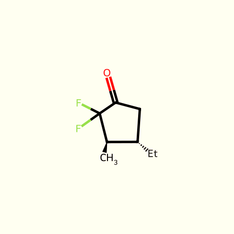 CC[C@H]1CC(=O)C(F)(F)[C@@H]1C